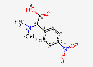 CN(C)C(C(=O)O)c1ccc([N+](=O)[O-])cc1